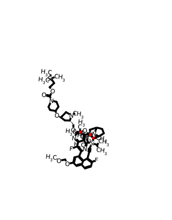 COCOc1cc(-c2ncc3c(N4CC5CCC(C4)N5C(=O)OC(C)(C)C)nc(OC[C@@H]4C[C@@H](OC5CCN(C(=O)OCC[Si](C)(C)C)CC5)CN4C)nc3c2F)c2c(C#C[Si](C(C)C)(C(C)C)C(C)C)c(F)ccc2c1